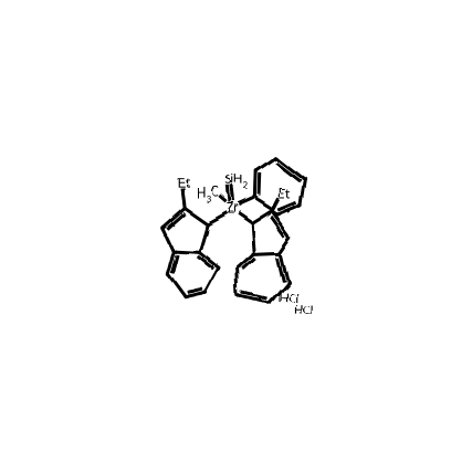 CCC1=Cc2ccccc2[CH]1[Zr]([CH3])(=[SiH2])([c]1ccccc1)[CH]1C(CC)=Cc2ccccc21.Cl.Cl